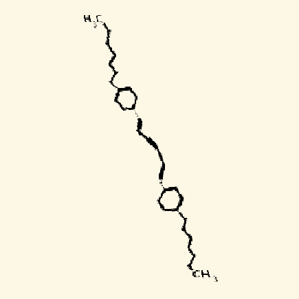 CCCCCCC[C@H]1CC[C@H](C=CC#CC=C[C@H]2CC[C@H](CCCCCCC)CC2)CC1